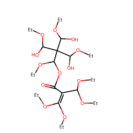 CCOC(OCC)=C(C(=O)OC(OCC)C(C(O)OCC)(C(O)OCC)C(O)OCC)C(OCC)OCC